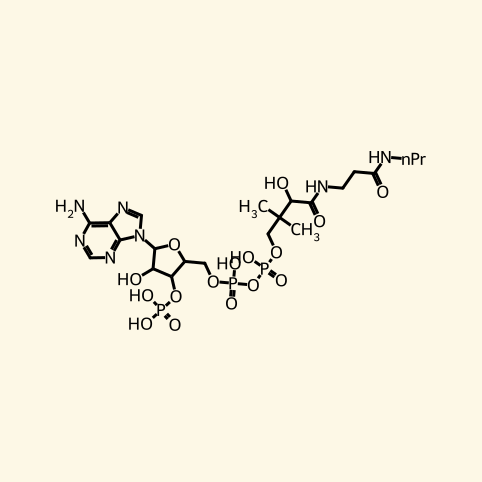 CCCNC(=O)CCNC(=O)C(O)C(C)(C)COP(=O)(O)OP(=O)(O)OCC1OC(n2cnc3c(N)ncnc32)C(O)C1OP(=O)(O)O